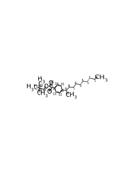 CCCCCCCCCC(C)c1ccc(S(=O)(=O)OCC(C)(C)C)cc1